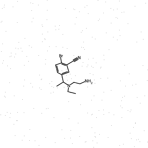 CCN(CCN)C(C)c1ccc(Br)c(C#N)c1